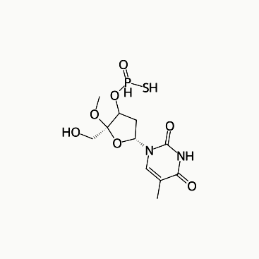 CO[C@]1(CO)O[C@@H](n2cc(C)c(=O)[nH]c2=O)CC1O[PH](=O)S